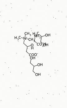 CC(O)CO.C[N+](C)(C)CC(O)CC(=O)[O-].NCC(=O)O.OCC(O)CO